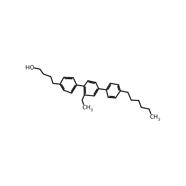 CCCCCCc1ccc(-c2ccc(-c3ccc(CCCCO)cc3)c(CC)c2)cc1